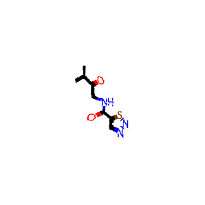 CC(C)C(=O)CNC(=O)c1cnns1